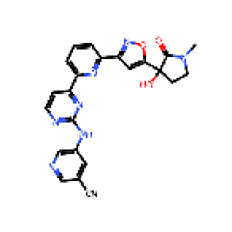 CN1CCC(O)(c2cc(-c3cccc(-c4ccnc(Nc5cncc(C#N)c5)n4)n3)no2)C1=O